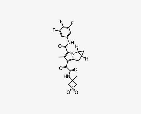 Cc1c(C(=O)C(=O)NC2(C)CS(=O)(=O)C2)c2n(c1C(=O)Nc1cc(F)c(F)c(F)c1)[C@@H]1C[C@@H]1C2